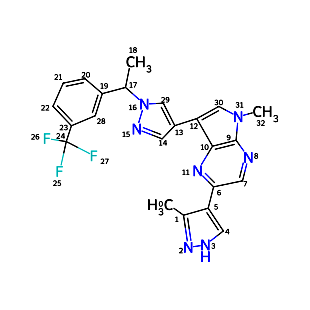 Cc1n[nH]cc1-c1cnc2c(n1)c(-c1cnn(C(C)c3cccc(C(F)(F)F)c3)c1)cn2C